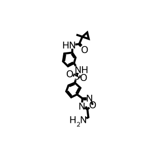 CC1(C(=O)Nc2cccc(NS(=O)(=O)c3cccc(-c4noc(CN)n4)c3)c2)CC1